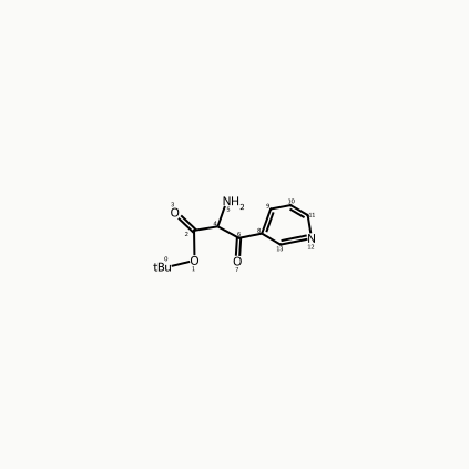 CC(C)(C)OC(=O)C(N)C(=O)c1cccnc1